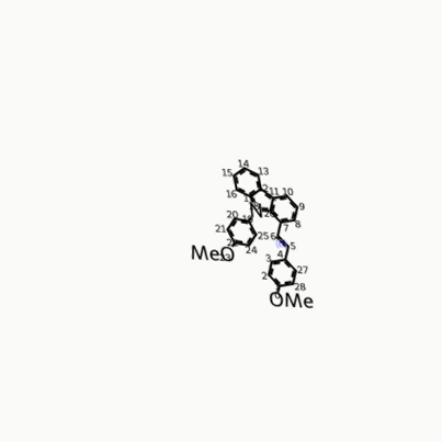 COc1ccc(/C=C/c2cccc3c4ccccc4n(-c4ccc(OC)cc4)c23)cc1